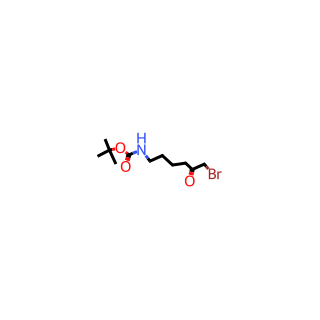 CC(C)(C)OC(=O)NCCCCC(=O)CBr